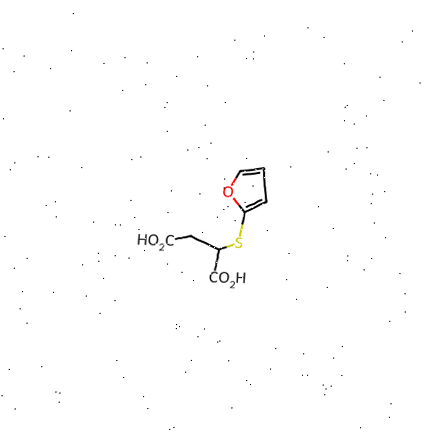 O=C(O)CC(Sc1ccco1)C(=O)O